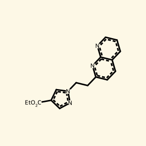 CCOC(=O)c1cnn(CCc2ccc3cccnc3n2)c1